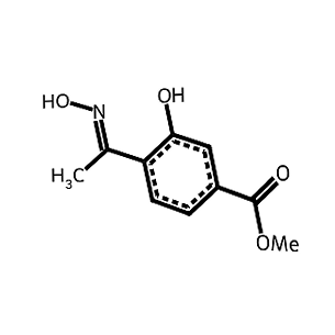 COC(=O)c1ccc(/C(C)=N/O)c(O)c1